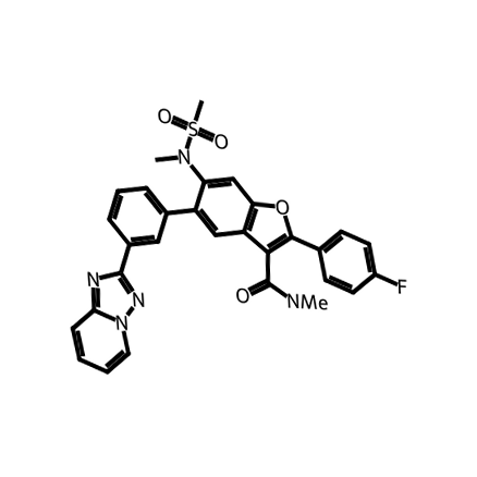 CNC(=O)c1c(-c2ccc(F)cc2)oc2cc(N(C)S(C)(=O)=O)c(-c3cccc(-c4nc5ccccn5n4)c3)cc12